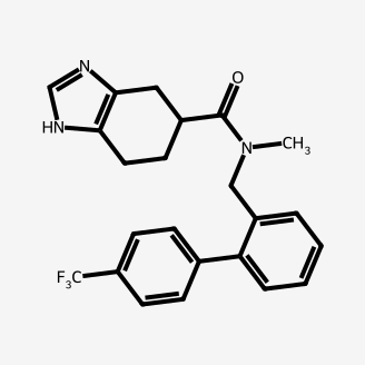 CN(Cc1ccccc1-c1ccc(C(F)(F)F)cc1)C(=O)C1CCc2[nH]cnc2C1